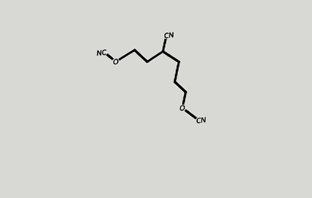 N#COCCCC(C#N)CCOC#N